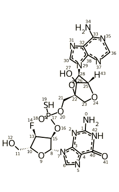 Nc1nc2c(ncn2[C@@H]2O[C@H](CO)[C@@H](F)[C@H]2OP(=O)(S)OC[C@]23CO[C@H](C2O)[C@H](n2cnc4c(N)ncnc42)O3)c(=O)[nH]1